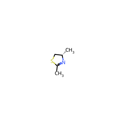 CC1=N[C@@H](C)CS1